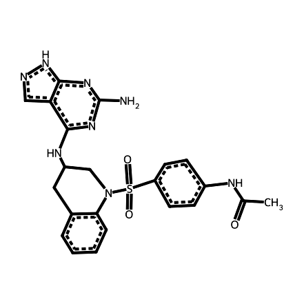 CC(=O)Nc1ccc(S(=O)(=O)N2CC(Nc3nc(N)nc4[nH]ncc34)Cc3ccccc32)cc1